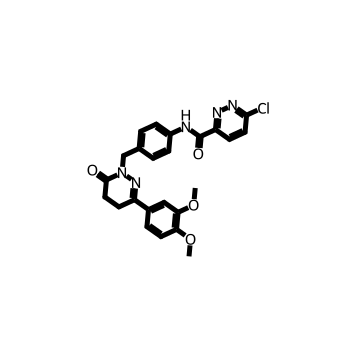 COc1ccc(C2=NN(Cc3ccc(NC(=O)c4ccc(Cl)nn4)cc3)C(=O)CC2)cc1OC